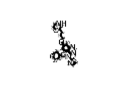 c1csc(Nc2ncnc3cc(OCCCC4CNCCO4)cc(OC4CCOCC4)c23)n1